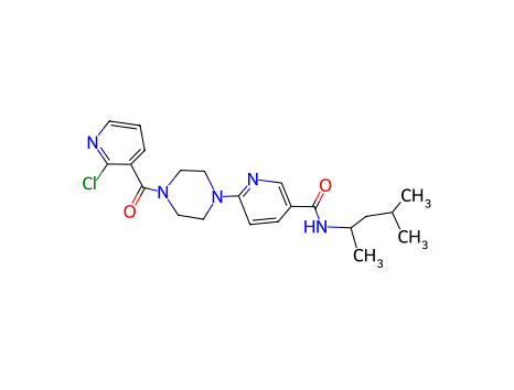 CC(C)CC(C)NC(=O)c1ccc(N2CCN(C(=O)c3cccnc3Cl)CC2)nc1